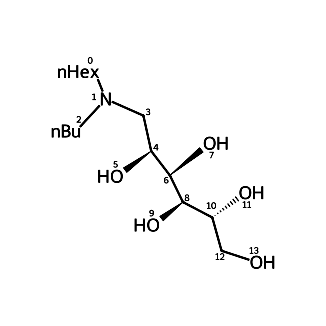 CCCCCCN(CCCC)C[C@H](O)[C@@H](O)[C@H](O)[C@H](O)CO